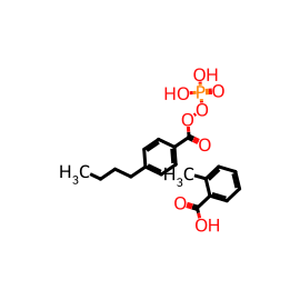 CCCCc1ccc(C(=O)OOP(=O)(O)O)cc1.Cc1ccccc1C(=O)O